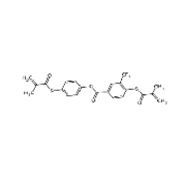 C=C(C)C(=O)Sc1ccc(OC(=O)c2ccc(SC(=O)C(=C)C)c(C(F)(F)F)c2)cc1